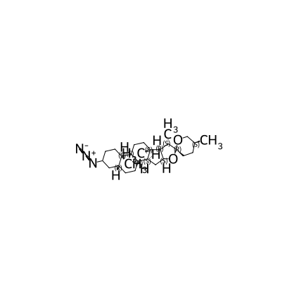 C[C@H]1CC[C@@]2(OC1)O[C@H]1C[C@H]3[C@@H]4CC[C@@H]5CC(N=[N+]=[N-])CC[C@]5(C)[C@H]4CC[C@]3(C)[C@H]1[C@@H]2C